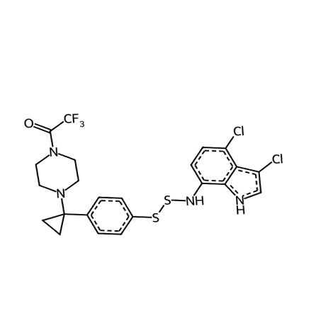 O=C(N1CCN(C2(c3ccc(SSNc4ccc(Cl)c5c(Cl)c[nH]c45)cc3)CC2)CC1)C(F)(F)F